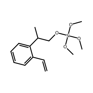 C=Cc1ccccc1C(C)CO[Si](OC)(OC)OC